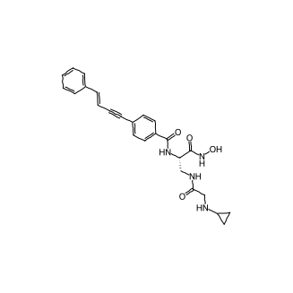 O=C(CNC1CC1)NC[C@H](NC(=O)c1ccc(C#C/C=C/c2ccccc2)cc1)C(=O)NO